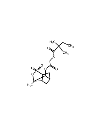 CCC(C)(C)C(=O)SCC(=O)OC1C2CC3C(C2)S(=O)(=O)OC31C